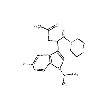 CC(C)n1cc(C(CC(N)=O)C(=O)N2CCCCC2)c2cc(F)ccc21